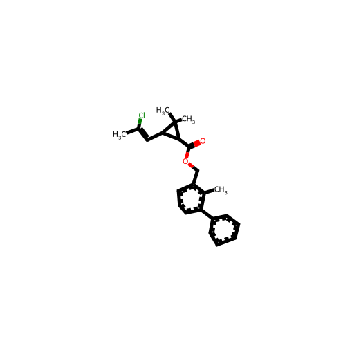 C/C(Cl)=C/C1C(C(=O)OCc2cccc(-c3ccccc3)c2C)C1(C)C